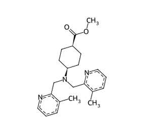 COC(=O)[C@H]1CC[C@@H](N(Cc2ncccc2C)Cc2ncccc2C)CC1